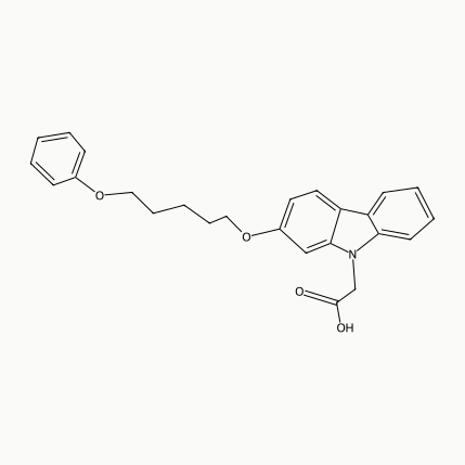 O=C(O)Cn1c2ccccc2c2ccc(OCCCCCOc3ccccc3)cc21